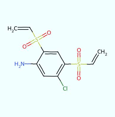 C=CS(=O)(=O)c1cc(S(=O)(=O)C=C)c(Cl)cc1N